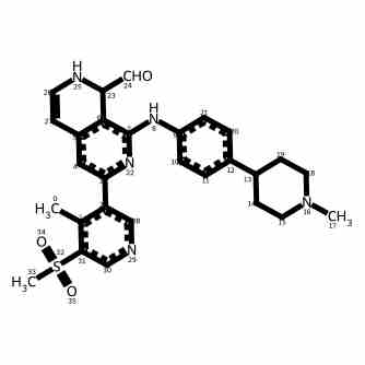 Cc1c(-c2cc3c(c(Nc4ccc(C5CCN(C)CC5)cc4)n2)C(C=O)NC=C3)cncc1S(C)(=O)=O